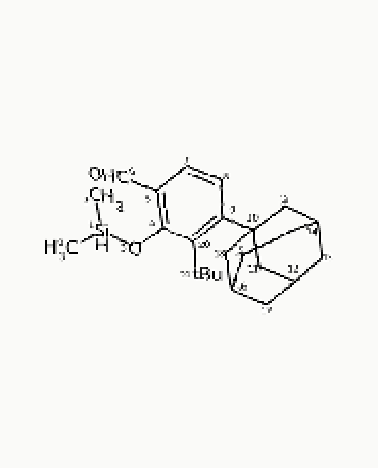 C[SiH](C)Oc1c(C=O)ccc(C23CC4CC(CC(C4)C2)C3)c1C(C)(C)C